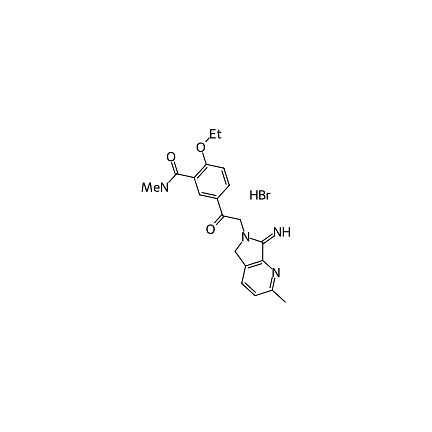 Br.CCOc1ccc(C(=O)CN2Cc3ccc(C)nc3C2=N)cc1C(=O)NC